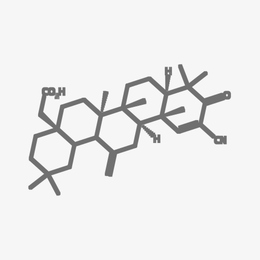 C=C1C[C@@H]2[C@@]3(C)C=C(C#N)C(=O)C(C)(C)[C@@H]3CC[C@@]2(C)[C@]2(C)CC[C@@]3(CC(=O)O)CCC(C)(C)CC3C12